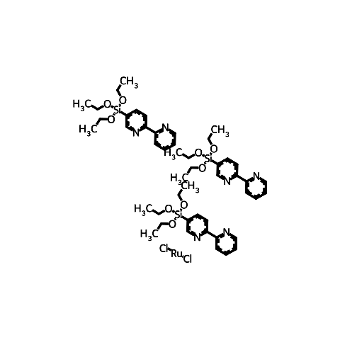 CCO[Si](OCC)(OCC)c1ccc(-c2ccccn2)nc1.CCO[Si](OCC)(OCC)c1ccc(-c2ccccn2)nc1.CCO[Si](OCC)(OCC)c1ccc(-c2ccccn2)nc1.[Cl][Ru][Cl]